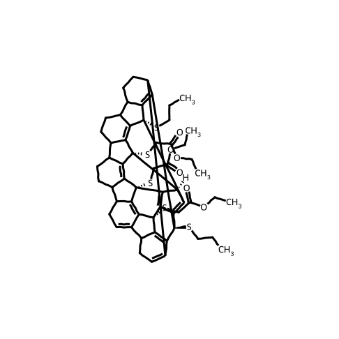 CCCS[C@@]12C3=C4C5CC=C3C3CCC6C(=C31)[C@]1(SCCC)C3=C7C(CCC36)C3CCC6C8=C3[C@]7(SCC(=O)OCC)[C@@H]3C7=C(C2=C31)[C@]4(SCC(=O)OCC)C1=C(C6CC=C15)[C@@]87SCC(=O)OCC